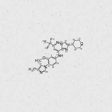 COc1cc(Nc2cc(C(F)(F)F)nn3cc(C4CCOCC4)nc23)ccc1-n1cnc(C)c1